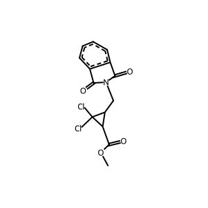 COC(=O)C1C(CN2C(=O)c3ccccc3C2=O)C1(Cl)Cl